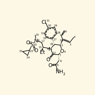 C=C/C(=C\C)[C@H]1O[C@H](CC(N)=O)C(=O)N([C@@H](CC)CN(C)S(=O)(=O)C2CC2)[C@@H]1c1ccc(Cl)cc1